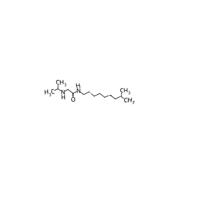 CC(C)CCCCCCCNC(=O)CNC(C)C